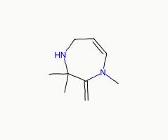 C=C1N(C)C=CCNC1(C)C